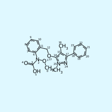 CON(C(=O)O)c1ccccc1COc1c(C)c(-c2ccccc2)nn1C